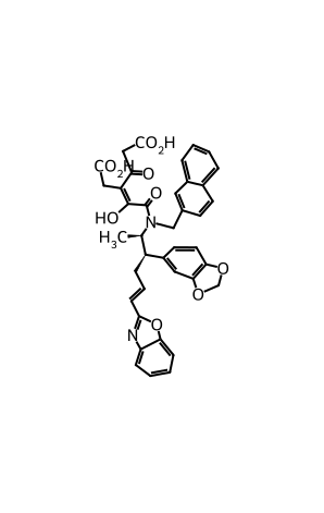 C[C@H]([C@H](CC=Cc1nc2ccccc2o1)c1ccc2c(c1)OCO2)N(Cc1ccc2ccccc2c1)C(=O)C(O)=C(CC(=O)O)C(=O)CC(=O)O